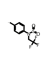 [CH2]c1ccc(N(CC(F)(F)F)[SH](=O)=O)cc1